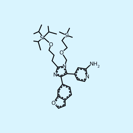 CC(C)[Si](OCCCc1nc(-c2ccc3ccoc3c2)c(-c2ccnc(N)c2)n1COCC[Si](C)(C)C)(C(C)C)C(C)C